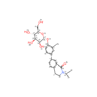 Cc1cc(-c2ccc3c(c2)C(=O)N(C(C)C)CC3)ccc1O[C@H]1O[C@H](CO)[C@@H](O)[C@H](O)[C@@H]1O